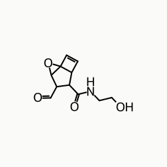 O=CC1C(C(=O)NCCO)C2C=CC23OC13